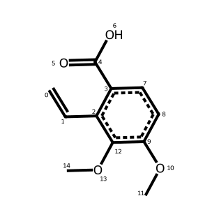 C=Cc1c(C(=O)O)ccc(OC)c1OC